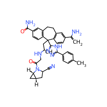 C=C(N)c1ccc2c(c1)CCc1cc(C(N)=O)ccc1C2(C[C@@H](C)NCC(=O)N1C(C#N)C[C@@H]2C[C@@H]21)c1nnc(-c2ccc(C)cc2)[nH]1